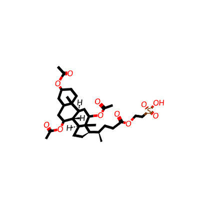 CC(=O)OC1CCC2(C)C(C1)CC(OC(C)=O)[C@@H]1[C@@H]2CC(OC(C)=O)C2(C)[C@@H]([C@H](C)CCC(=O)OCCS(=O)(=O)O)CC[C@@H]12